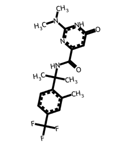 Cc1cc(C(F)(F)F)ccc1C(C)(C)NC(=O)c1cc(=O)[nH]c(N(C)C)n1